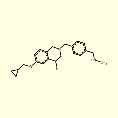 CNCc1ccc(CN2Cc3ccc(OCC4CC4)cc3C(F)C2)cc1